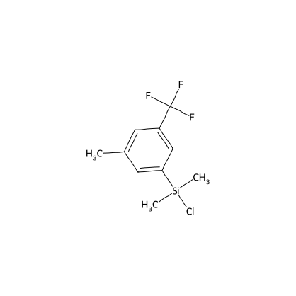 Cc1cc(C(F)(F)F)cc([Si](C)(C)Cl)c1